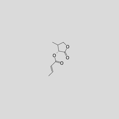 CC=CC(=O)O[C@H]1C(=O)OCC1C